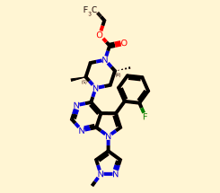 C[C@@H]1CN(c2ncnc3c2c(-c2ccccc2F)cn3-c2cnn(C)c2)[C@@H](C)CN1C(=O)OCC(F)(F)F